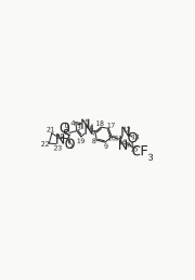 O=S(=O)(c1cnn(-c2ccc(-c3noc(C(F)(F)F)n3)cc2)c1)N1CCC1